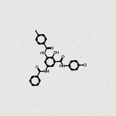 Cc1ccc(C(=O)Nc2cc(NC(=O)c3ccccc3)cc(C(=O)Nc3ccc(Cl)cc3)c2O)cc1